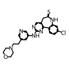 S=C1Cc2cnc(Nc3cncc(CCN4CCOCC4)c3)nc2-c2ccc(Cl)cc2N1